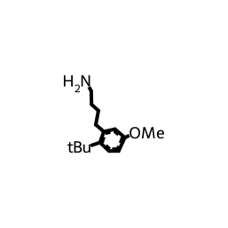 COc1ccc(C(C)(C)C)c(CCCCN)c1